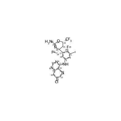 Cc1cc(Nc2ncnc3cc(Cl)cnc23)cc([C@]2(CF)C[C@@H](C(F)(F)F)OC(N)=N2)c1F